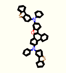 c1ccc(N(c2ccc3c(c2)oc2c4ccc(N(c5ccccc5)c5ccc6sc7ccccc7c6c5)cc4c4ccccc4c32)c2ccc3sc4ccccc4c3c2)cc1